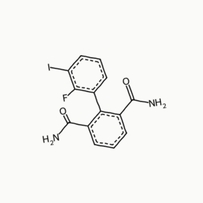 NC(=O)c1cccc(C(N)=O)c1-c1cccc(I)c1F